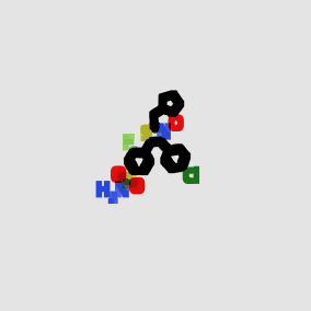 NS(=O)(=O)c1ccc(-c2sc(CC3CCCC3=O)nc2-c2ccc(Cl)cc2)c(F)c1